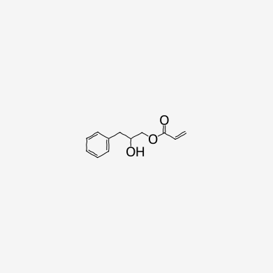 C=CC(=O)OCC(O)Cc1ccccc1